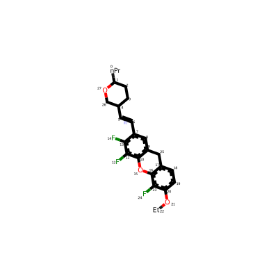 CCCC1CCC(/C=C/c2cc3c(c(F)c2F)Oc2c(ccc(OCC)c2F)C3)CO1